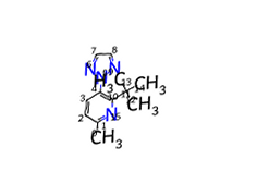 Cc1ccc(-n2nccn2)c(C(C)(C)C)n1